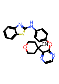 N#CC1(c2nccnc2Oc2ccc(Nc3nc4ccccc4s3)cc2)CCOCC1